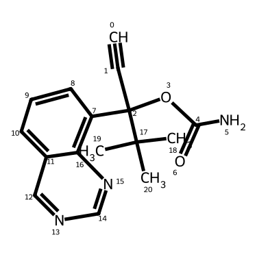 C#CC(OC(N)=O)(c1cccc2cncnc12)C(C)(C)C